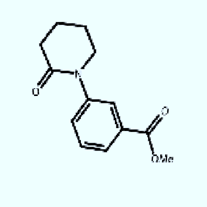 COC(=O)c1cccc(N2CCCCC2=O)c1